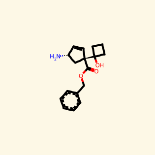 N[C@@H]1C=C[C@@](C(=O)OCc2ccccc2)(C2(O)CCC2)C1